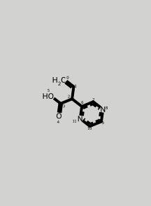 C=CC(C(=O)O)c1cnccn1